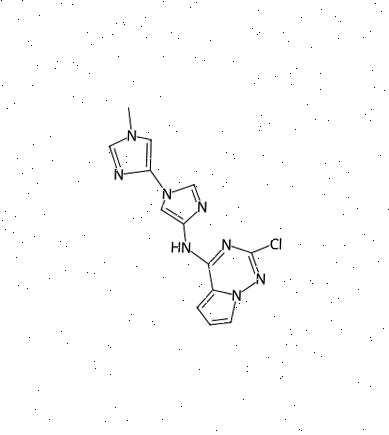 Cn1cnc(-n2cnc(Nc3nc(Cl)nn4cccc34)c2)c1